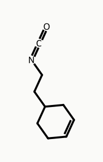 O=C=NCCC1CC=CCC1